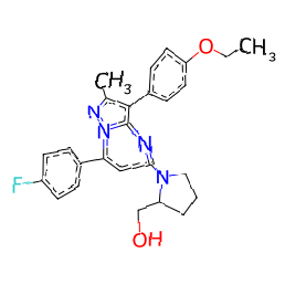 CCOc1ccc(-c2c(C)nn3c(-c4ccc(F)cc4)cc(N4CCCC4CO)nc23)cc1